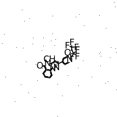 Cn1c(=O)c2ccccc2n2nc(-c3ccnc(OC(C(F)(F)F)C(F)(F)F)c3)cc12